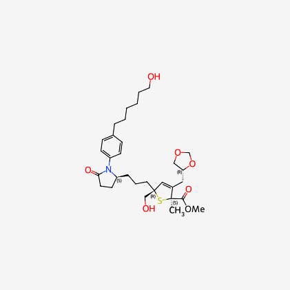 COC(=O)[C@@]1(C)S[C@](CO)(CCC[C@H]2CCC(=O)N2c2ccc(CCCCCCO)cc2)C=C1C[C@@H]1COCO1